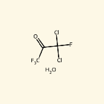 O.O=C(C(F)(F)F)C(F)(Cl)Cl